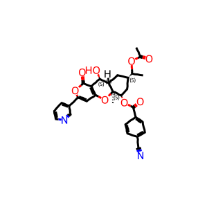 CC(=O)OC(C)[C@@H]1C[C@H](OC(=O)c2ccc(C#N)cc2)[C@@]2(C)Oc3cc(-c4cccnc4)oc(=O)c3[C@@H](O)[C@@H]2C1